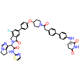 O=C1CC[C@H](Nc2ccc(-c3ccc(CC(=O)N4CCC(Oc5ccc(-c6cc(F)c7c(c6)C(=O)N(C(C(=O)Nc6nccs6)c6ncn8c6CCC8)C7)cc5)CC4)cc3)cc2)C(=O)N1